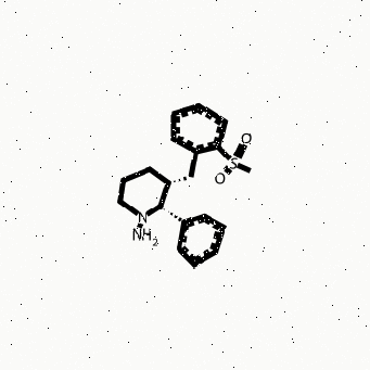 CS(=O)(=O)c1ccccc1C[C@H]1CCCN(N)[C@H]1c1ccccc1